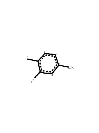 [CH]c1ccc(Cl)cc1F